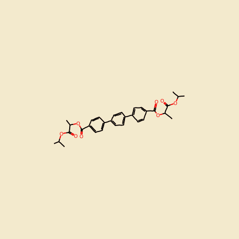 CC(C)OC(=O)C(C)OC(=O)c1ccc(-c2ccc(-c3ccc(C(=O)OC(C)C(=O)OC(C)C)cc3)cc2)cc1